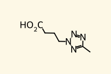 Cc1nnn(CCCC(=O)O)n1